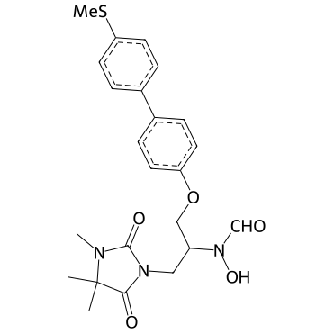 CSc1ccc(-c2ccc(OCC(CN3C(=O)N(C)C(C)(C)C3=O)N(O)C=O)cc2)cc1